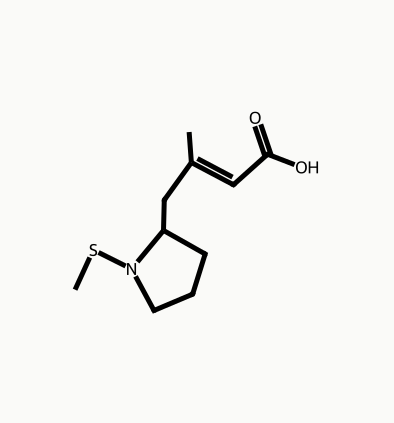 CSN1CCCC1CC(C)=CC(=O)O